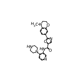 CN1CCOc2cc(-c3ncc(C(=O)Nc4cnccc4N4CCNCC4)o3)ccc21